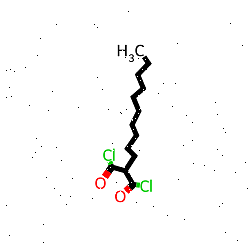 CCCCCCCCCCC(C(=O)Cl)C(=O)Cl